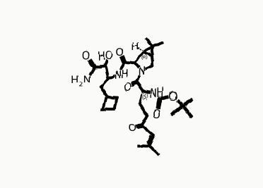 CC(C)=CC(=O)CC[C@H](NC(=O)OC(C)(C)C)C(=O)N1CC2[C@@H](C1C(=O)NC(CC1CCC1)C(O)C(N)=O)C2(C)C